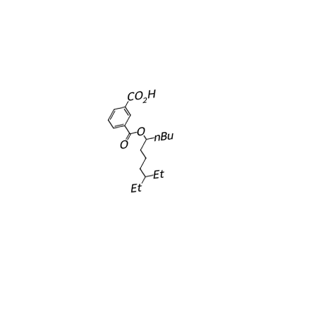 CCCCC(CCCC(CC)CC)OC(=O)c1cccc(C(=O)O)c1